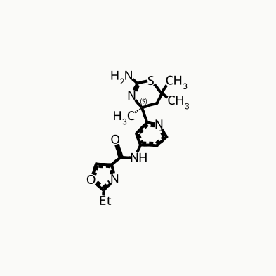 CCc1nc(C(=O)Nc2ccnc([C@]3(C)CC(C)(C)SC(N)=N3)c2)co1